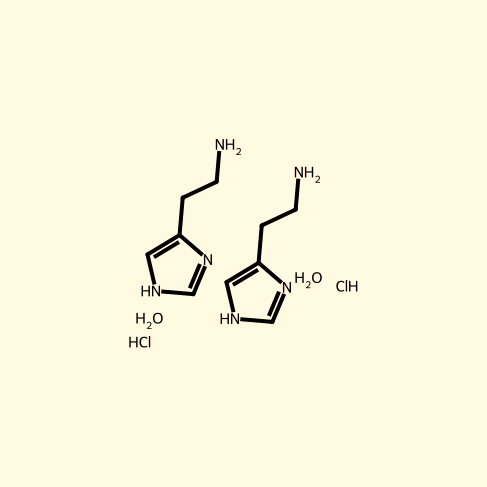 Cl.Cl.NCCc1c[nH]cn1.NCCc1c[nH]cn1.O.O